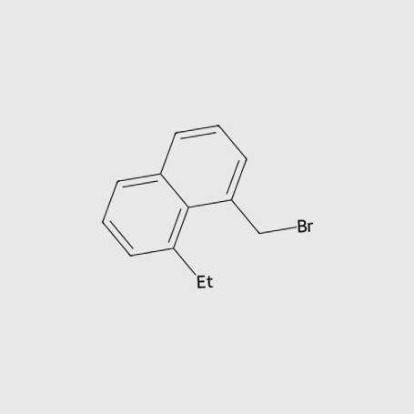 CCc1cccc2cccc(CBr)c12